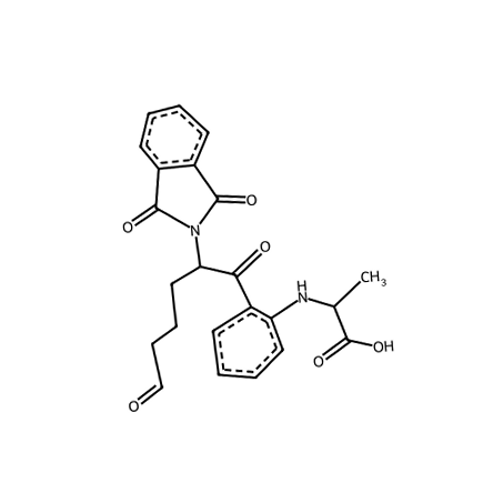 CC(Nc1ccccc1C(=O)C(CCCC=O)N1C(=O)c2ccccc2C1=O)C(=O)O